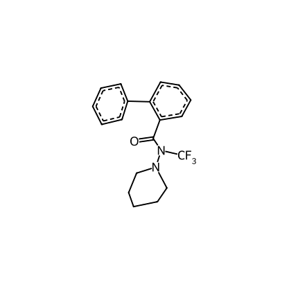 O=C(c1ccccc1-c1ccccc1)N(N1CCCCC1)C(F)(F)F